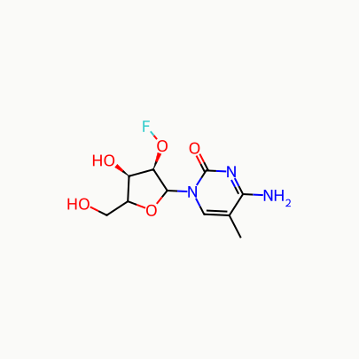 Cc1cn(C2OC(CO)[C@@H](O)[C@H]2OF)c(=O)nc1N